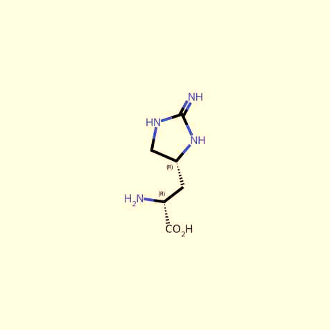 N=C1NC[C@@H](C[C@@H](N)C(=O)O)N1